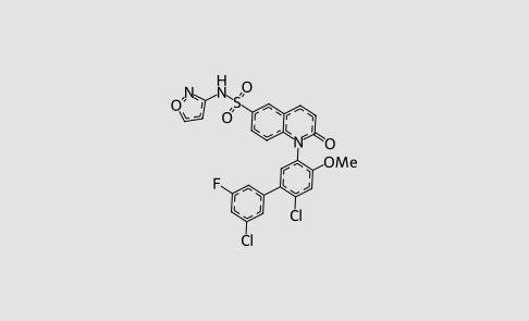 COc1cc(Cl)c(-c2cc(F)cc(Cl)c2)cc1-n1c(=O)ccc2cc(S(=O)(=O)Nc3ccon3)ccc21